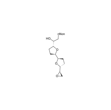 CCCCCCCCCCC(O)[C@H]1CC[C@H]([C@H]2CC[C@H]([C@H]3CO3)O2)O1